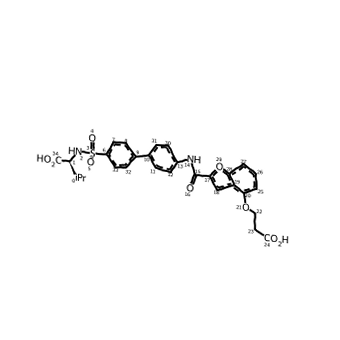 CC(C)[C@H](NS(=O)(=O)c1ccc(-c2ccc(NC(=O)c3cc4c(OCCC(=O)O)cccc4o3)cc2)cc1)C(=O)O